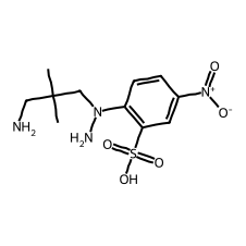 CC(C)(CN)CN(N)c1ccc([N+](=O)[O-])cc1S(=O)(=O)O